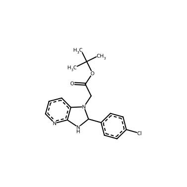 CC(C)(C)OC(=O)CN1c2cccnc2NC1c1ccc(Cl)cc1